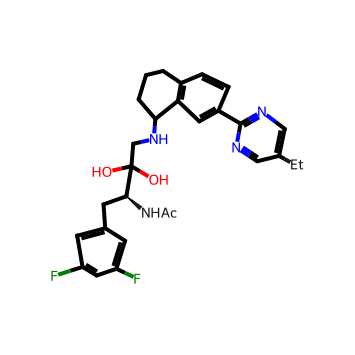 CCc1cnc(-c2ccc3c(c2)C(NCC(O)(O)[C@H](Cc2cc(F)cc(F)c2)NC(C)=O)CCC3)nc1